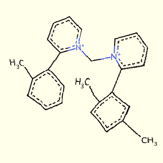 Cc1ccc(C)c(-c2cccc[n+]2C[n+]2ccccc2-c2ccccc2C)c1